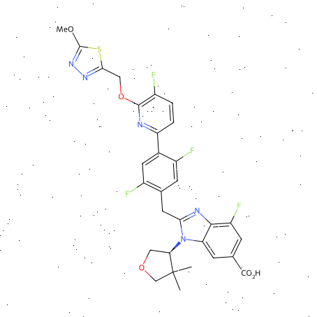 COc1nnc(COc2nc(-c3cc(F)c(Cc4nc5c(F)cc(C(=O)O)cc5n4[C@@H]4COCC4(C)C)cc3F)ccc2F)s1